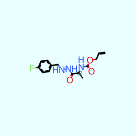 C=CCOC(=O)N[C@@H](C)C(=O)NNCc1ccc(F)cc1